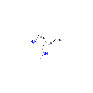 C=C/C=C(\C=C/N)CNC